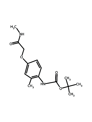 CNC(=O)COc1ccc(NC(=O)OC(C)(C)C)c(C)c1